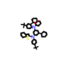 CC(C)(C)c1ccc(N(c2cc(-c3ccccc3)cc(N(c3ccccc3)c3ccc(C(C)(C)C)cc3-c3ccccc3)c2)c2cc3ccccc3s2)cc1